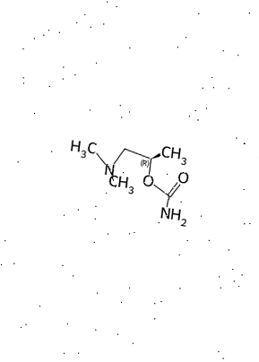 C[C@H](CN(C)C)OC(N)=O